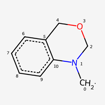 [CH2]N1COCc2ccccc21